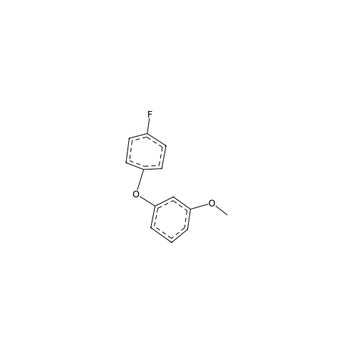 COc1cccc(Oc2ccc(F)cc2)c1